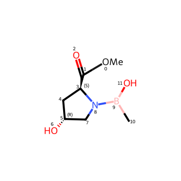 COC(=O)[C@@H]1C[C@@H](O)CN1B(C)O